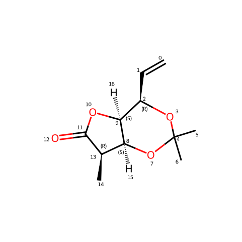 C=C[C@H]1OC(C)(C)O[C@@H]2[C@H]1OC(=O)[C@@H]2C